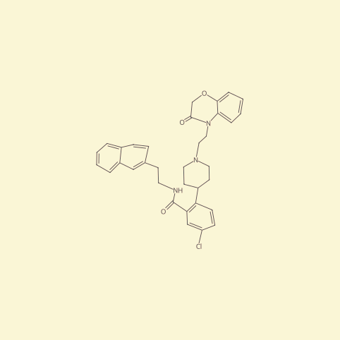 O=C(NCCc1ccc2ccccc2c1)c1cc(Cl)ccc1C1CCN(CCN2C(=O)COc3ccccc32)CC1